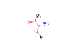 CCOOC(=O)C(F)(F)F.N